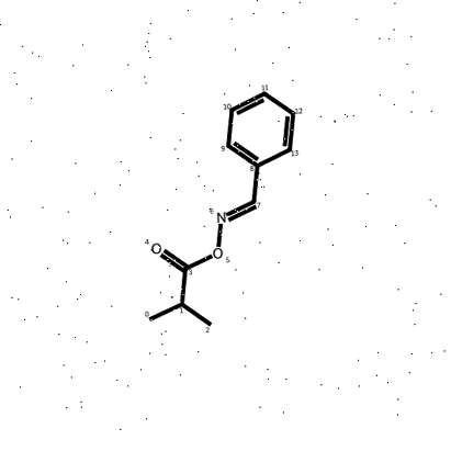 CC(C)C(=O)O/N=C/c1ccccc1